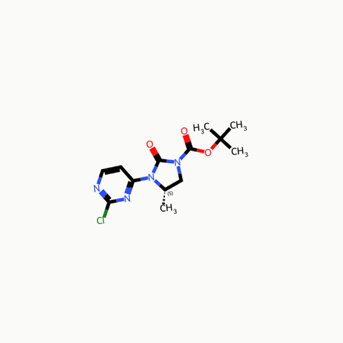 C[C@H]1CN(C(=O)OC(C)(C)C)C(=O)N1c1ccnc(Cl)n1